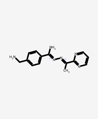 C/C(=N\N=C(/N)c1ccc(CN)cc1)c1ncccn1